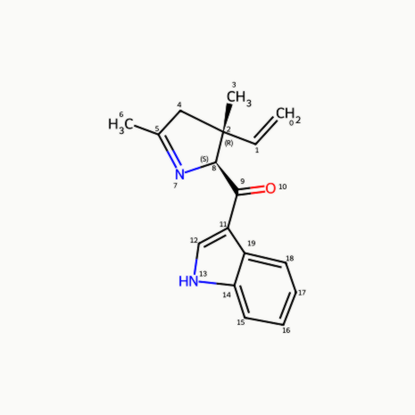 C=C[C@@]1(C)CC(C)=N[C@@H]1C(=O)c1c[nH]c2ccccc12